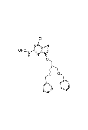 O=CNc1nc(Cl)c2ncn(OCC(COCc3ccccc3)COCc3ccccc3)c2n1